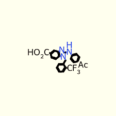 CC(=O)c1ccc(Nc2nc3cc(C(=O)O)ccc3n2Cc2ccccc2C(F)(F)F)cc1